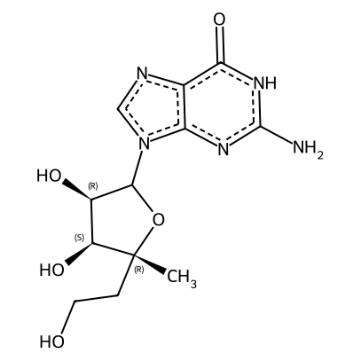 C[C@]1(CCO)OC(n2cnc3c(=O)[nH]c(N)nc32)[C@H](O)[C@@H]1O